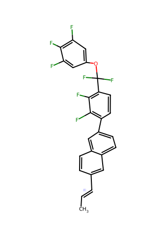 C/C=C/c1ccc2cc(-c3ccc(C(F)(F)Oc4cc(F)c(F)c(F)c4)c(F)c3F)ccc2c1